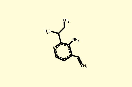 C=Cc1ccnc(C(C)CC)c1N